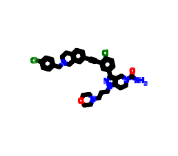 NC(=O)N1CCc2c(c(-c3ccc(Cl)c(C#Cc4ccc5c(c4)CN(Cc4ccc(Cl)cc4)CC5)c3)nn2CCCN2CCOCC2)C1